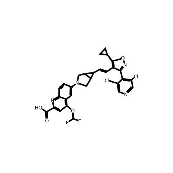 O=C(O)c1cc(OC(F)F)c2cc(N3CC4C(C=Cc5c(-c6c(Cl)cncc6Cl)noc5C5CC5)C4C3)ccc2n1